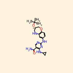 BC(B)(B)O[C@H]1CNc2cc(Nc3ncc(C(N)=O)c(NC4CC4)n3)ccc2OC1